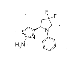 Nc1nc([C@H]2CC(F)(F)CN2c2ccccc2)cs1